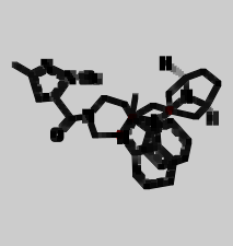 Cc1cc(C(=O)N2CCC(CCN3[C@@H]4CC[C@H]3CC(n3c(C)nc5ccccc53)C4)(c3ccccc3)CC2)n(C(C)(C)C)n1